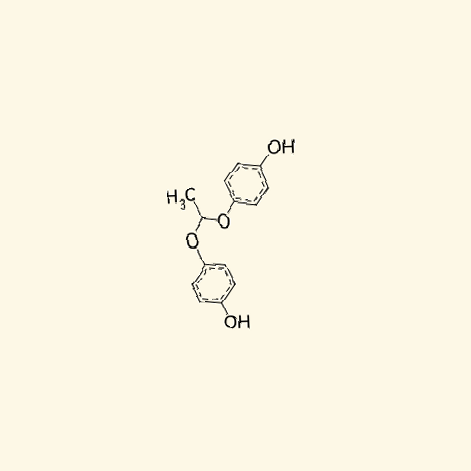 CC(Oc1ccc(O)cc1)Oc1ccc(O)cc1